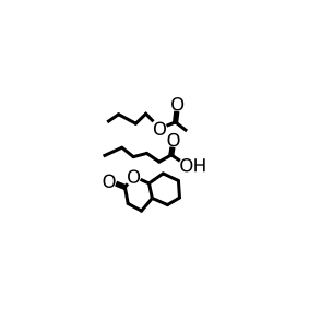 CCCCCC(=O)O.CCCCOC(C)=O.O=C1CCC2CCCCC2O1